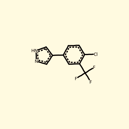 FC(F)(F)c1cc(-c2cn[nH]c2)ccc1Cl